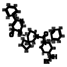 CCN[C@@H]1CCN(C(=O)N2CC[C@@H](Cn3cnc(-c4ccccc4)cc3=O)C3(CCCC3)C2)[C@H](c2ccccc2)C1